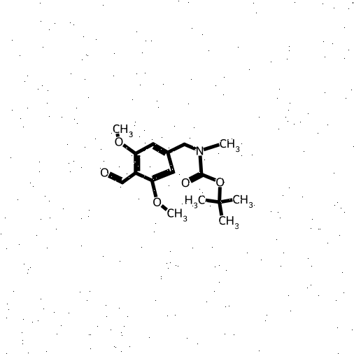 COc1cc(CN(C)C(=O)OC(C)(C)C)cc(OC)c1C=O